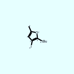 Cc1cc(I)c(C(C)(C)C)o1